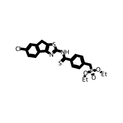 CCOP(=O)(Cc1ccc(C(=S)Nc2nc3c(s2)Cc2cc(Cl)ccc2-3)cc1)OCC